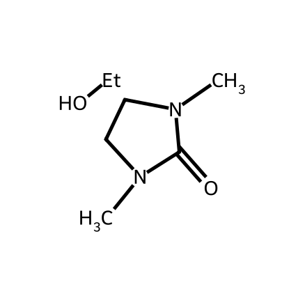 CCO.CN1CCN(C)C1=O